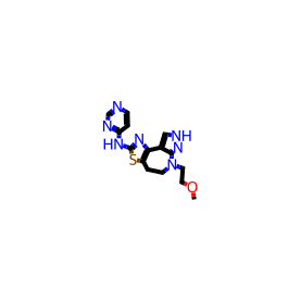 COCCN1CCc2sc(Nc3ccncn3)nc2-c2c[nH]nc21